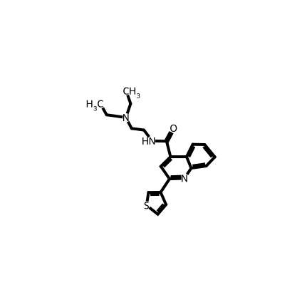 CCN(CC)CCNC(=O)c1cc(-c2ccsc2)nc2ccccc12